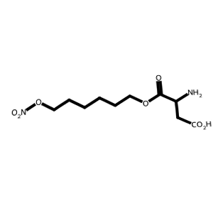 NC(CC(=O)O)C(=O)OCCCCCCO[N+](=O)[O-]